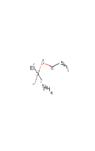 CCC(C)(C)O[SiH3].[SiH4]